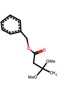 COC(C)(CC(=O)OCc1ccccc1)OC